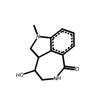 CN1CC2c3c(cccc31)C(=O)NCC2O